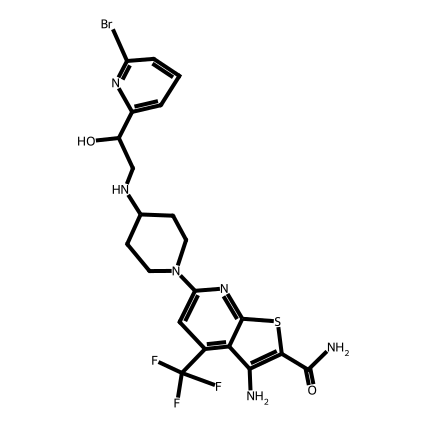 NC(=O)c1sc2nc(N3CCC(NCC(O)c4cccc(Br)n4)CC3)cc(C(F)(F)F)c2c1N